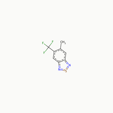 Cc1cc2nsnc2cc1C(F)(F)F